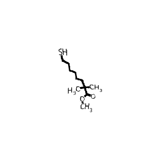 COC(=O)C(C)(C)CCCCCCS